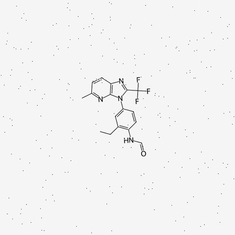 CCc1cc(-n2c(C(F)(F)F)nc3ccc(C)nc32)ccc1NC=O